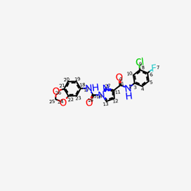 O=C(Nc1ccc(F)c(Cl)c1)c1ccn(C(=O)Nc2ccc3c(c2)OCO3)n1